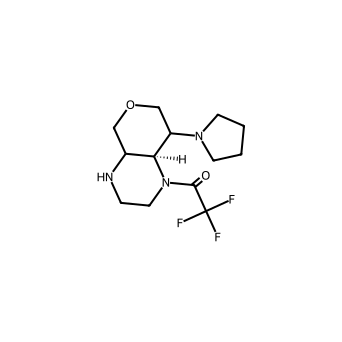 O=C(N1CCNC2COCC(N3CCCC3)[C@H]21)C(F)(F)F